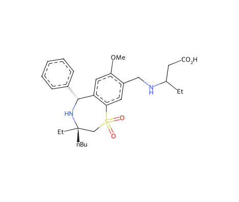 CCCC[C@]1(CC)CS(=O)(=O)c2cc(CNC(CC)CC(=O)O)c(OC)cc2[C@@H](c2ccccc2)N1